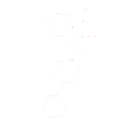 NC(=O)C1(N(O)S(=O)(=O)N2CCN(c3ccc(Cl)cc3)CC2)CCCCC1